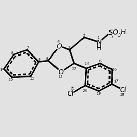 O=S(=O)(O)NCC1OC(c2ccccc2)OC1c1ccc(Cl)cc1Cl